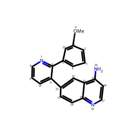 COc1cccc(-c2ncccc2-c2ccc3nccc(N)c3c2)c1